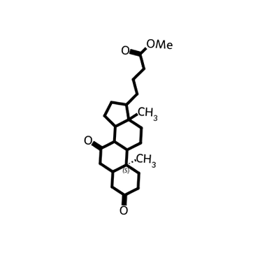 COC(=O)CCCC1CCC2C3C(=O)CC4CC(=O)CC[C@]4(C)C3CCC12C